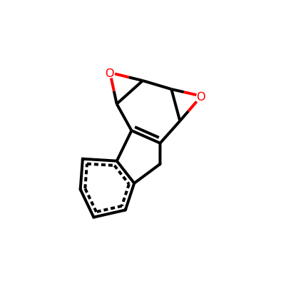 c1ccc2c(c1)CC1=C2C2OC2C2OC12